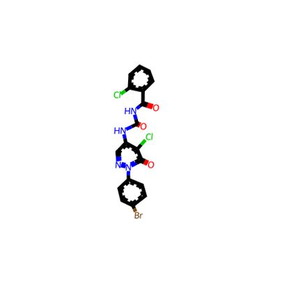 O=C(NC(=O)c1ccccc1Cl)Nc1cnn(-c2ccc(Br)cc2)c(=O)c1Cl